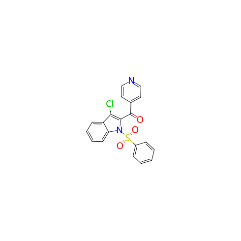 O=C(c1ccncc1)c1c(Cl)c2ccccc2n1S(=O)(=O)c1ccccc1